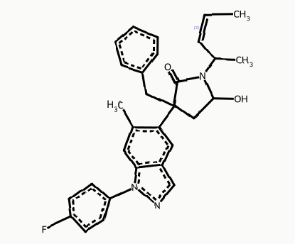 C/C=C\C(C)N1C(=O)C(Cc2ccccc2)(c2cc3cnn(-c4ccc(F)cc4)c3cc2C)CC1O